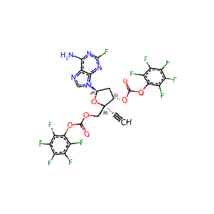 C#C[C@]1(COC(=O)Oc2c(F)c(F)c(F)c(F)c2F)O[C@@H](n2cnc3c(N)nc(F)nc32)C[C@@H]1OC(=O)Oc1c(F)c(F)c(F)c(F)c1F